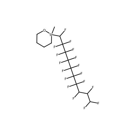 C[Si]1(C(F)C(F)(F)C(F)(F)C(F)(F)C(F)(F)C(F)(F)C(F)(F)C(F)C(F)C(F)F)CCCCO1